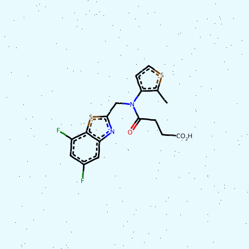 Cc1sccc1N(Cc1nc2cc(F)cc(F)c2s1)C(=O)CCC(=O)O